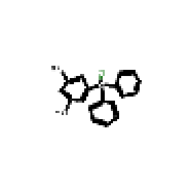 CC(C)(C)c1cc(C(C)(C)C)cc([Si](Cl)(c2ccccc2)c2ccccc2)c1